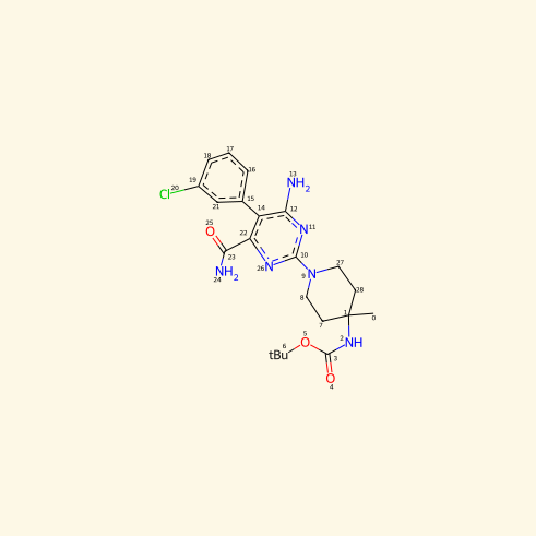 CC1(NC(=O)OC(C)(C)C)CCN(c2nc(N)c(-c3cccc(Cl)c3)c(C(N)=O)n2)CC1